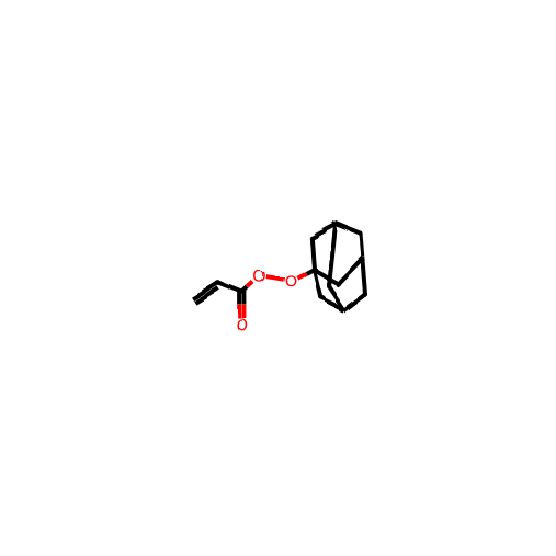 C=CC(=O)OOC12CC3CC(CC(C3)C1)C2